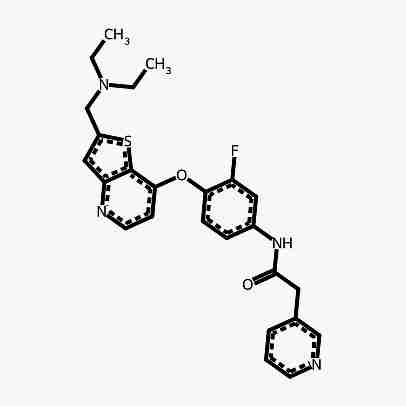 CCN(CC)Cc1cc2nccc(Oc3ccc(NC(=O)Cc4cccnc4)cc3F)c2s1